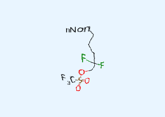 CCCCCCCCCCCCC(F)(F)COS(=O)(=O)C(F)(F)F